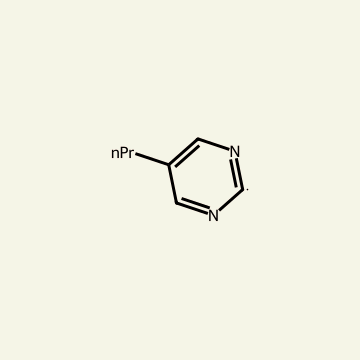 CCCc1cn[c]nc1